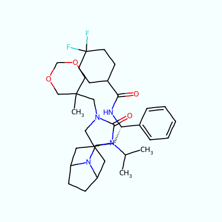 CC(C)N1C(=O)N(CC2(C)COCOC2)CC12CC1CCC(C2)N1CC[C@H](NC(=O)C1CCC(F)(F)CC1)c1ccccc1